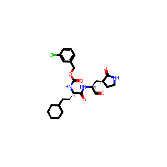 O=C[C@H](C[C@@H]1CCNC1=O)NC(=O)[C@H](CCC1CCCCC1)NC(=O)OCc1cccc(Cl)c1